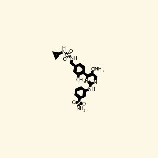 Cc1cc(CNS(=O)(=O)NC2CC2)ccc1-c1nc(Nc2cccc(S(N)(=O)=O)c2)ncc1Cl.N